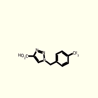 O=C(O)c1cn(Cc2ccc(C(F)(F)F)cc2)nn1